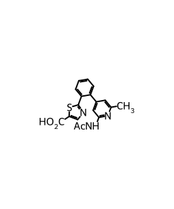 CC(=O)Nc1cc(-c2ccccc2-c2ncc(C(=O)O)s2)cc(C)n1